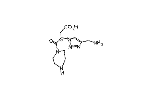 NCc1cn([C@@H](CC(=O)O)C(=O)N2CCNCC2)nn1